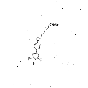 COCCCCCCOc1ccc(-c2cc(F)c(F)c(F)c2)cc1